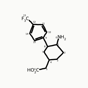 NC1CCC(CC(=O)O)CC1c1ccc(C(F)(F)F)cc1